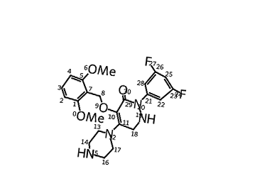 COc1cccc(OC)c1COC1=C(N2CCNCC2)CNN(c2cc(F)cc(F)c2)C1=O